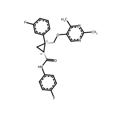 Cc1ncc(OC[C@@]2(c3cccc(F)c3)C[C@H]2C(=O)Nc2ccc(F)cc2)c(C)n1